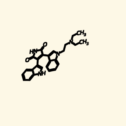 CCN(CC)CCn1cc(C2=C(c3c[nH]c4ccccc34)C(=O)NC2=O)c2ccccc21